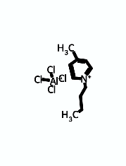 CCCC[n+]1ccc(C)cc1.[Cl][Al-]([Cl])([Cl])[Cl]